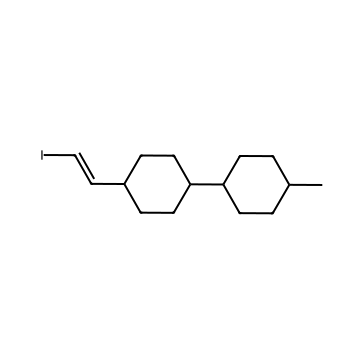 CC1CCC(C2CCC(/C=C/I)CC2)CC1